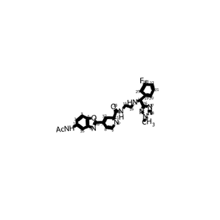 CC(=O)Nc1ccc2oc(-c3ccnc(C(=O)NCCNC(c4cccc(F)c4)c4nnn(C)n4)c3)nc2c1